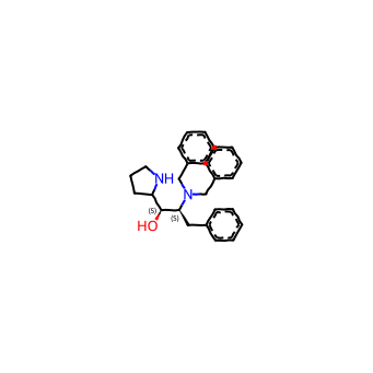 O[C@@H](C1CCCN1)[C@H](Cc1ccccc1)N(Cc1ccccc1)Cc1ccccc1